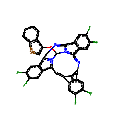 BC1=C2/N=c3/c4cc(F)c(F)cc4c4n3C(Oc3csc5ccccc35)n3c(c5cc(F)c(F)cc5c3N=4)/C=C1/c1cc(F)c(F)cc12